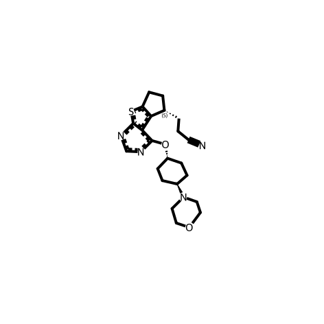 N#CCC[C@H]1CCc2sc3ncnc(O[C@H]4CC[C@H](N5CCOCC5)CC4)c3c21